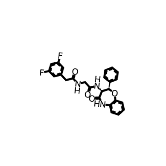 O=C(Cc1cc(F)cc(F)c1)NCC(=O)N[C@@H]1C(=O)Nc2ccccc2O[C@@H]1c1ccccc1